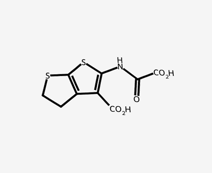 O=C(O)C(=O)Nc1sc2c(c1C(=O)O)CCS2